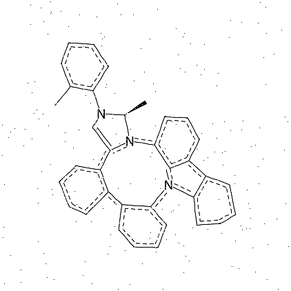 Cc1ccccc1N1C=c2c3ccccc3c3ccccc3n3c4ccccc4c4cccc(c43)n2[C@@H]1C